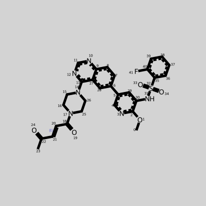 COc1ncc(-c2ccc3ncnc(N4CCN(C(=O)/C=C/C(C)=O)CC4)c3c2)cc1NS(=O)(=O)c1ccccc1F